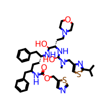 CC(C)c1nc(CN(C)[C@@H](O)N[C@@H](CCN2CCOCC2)[C@H](O)N[C@H](CCC(Cc2ccccc2)NC(=O)OCc2cncs2)Cc2ccccc2)cs1